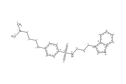 CN(C)CCCOc1ccc(S(=O)(=O)NCCCn2cnc3ccccc32)cc1